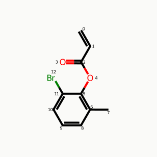 C=CC(=O)Oc1c(C)cccc1Br